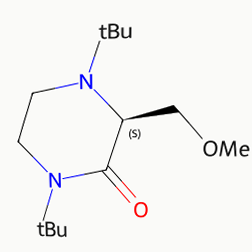 COC[C@H]1C(=O)N(C(C)(C)C)CCN1C(C)(C)C